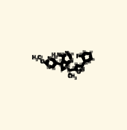 COc1ncc(-c2cn([C@@H](C)c3cc(-c4ccccc4F)no3)c3ncnc(N)c23)cn1